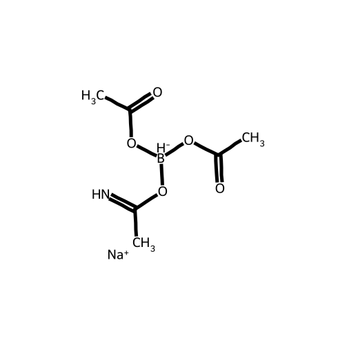 CC(=N)O[BH-](OC(C)=O)OC(C)=O.[Na+]